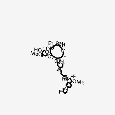 CC[C@H]1OC(=O)[C@H](C)[C@@H](O[C@H]2C[C@@](C)(OC)[C@@H](O)[C@H](C)O2)[C@H](C)[C@@H](O[C@H]2C[C@@H](N(C)CCc3cn([C@H](CF)[C@H](OC)c4ccc(N5CC[C@H](F)C5)cc4)nn3)C[C@@H](C)O2)[C@](C)(O)C[C@@H](C)CN(C)[C@H](C)[C@@H](O)[C@]1(C)O